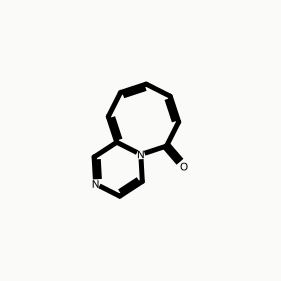 O=C1C=CC=CC=C2C=NC=CN12